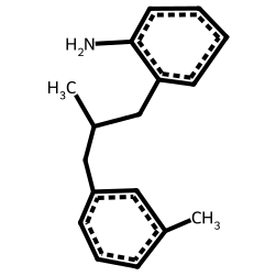 Cc1cccc(CC(C)Cc2ccccc2N)c1